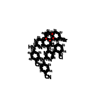 N#Cc1ccc(Nc2ncc(-c3ccccc3Cl)c(C(=NN(C(N)=O)c3cccc(Br)c3)c3nc(Nc4ccc(C#N)cc4)ncc3-c3ccccc3Cl)n2)cc1